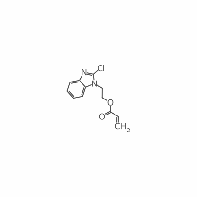 C=CC(=O)OCCn1c(Cl)nc2ccccc21